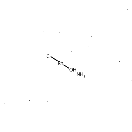 N.[OH][Rh][Cl]